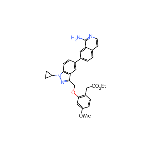 CCOC(=O)Cc1ccc(OC)cc1OCc1nn(C2CC2)c2ccc(-c3ccc4ccnc(N)c4c3)cc12